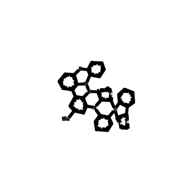 CC(C)(C)c1cc2c3c(c1)N1c4ccccc4[Si]4(c5ccccc5-c5ccccc54)c4cccc(c41)B3N1c3ccccc3Sc3cccc-2c31